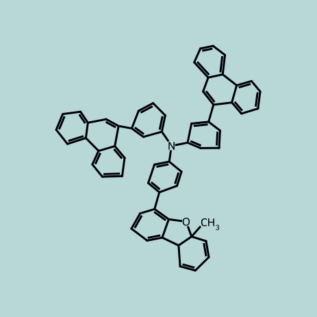 CC12C=CC=CC1c1cccc(-c3ccc(N(c4cccc(-c5cc6ccccc6c6ccccc56)c4)c4cccc(-c5cc6ccccc6c6ccccc56)c4)cc3)c1O2